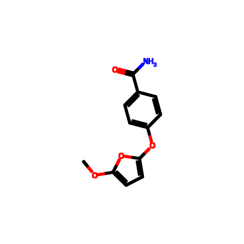 COc1ccc(Oc2ccc(C(N)=O)cc2)o1